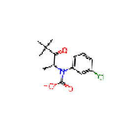 C[C@@H](C(=O)C(C)(C)C)N(C(=O)O)c1cccc(Cl)c1